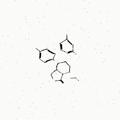 CCO[C@@]12CC[C@@H](c3ccc(Cl)cc3Cl)[C@H](c3ccc(Cl)cc3)[C@@H]1[C@@H](C)NC2=O